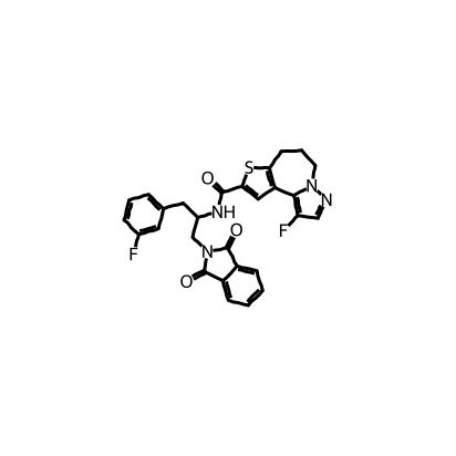 O=C(NC(Cc1cccc(F)c1)CN1C(=O)c2ccccc2C1=O)c1cc2c(s1)CCCn1ncc(F)c1-2